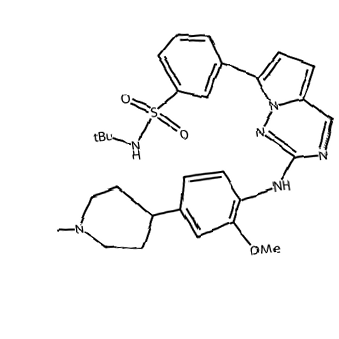 COc1cc(C2CCN(C)CC2)ccc1Nc1ncc2ccc(-c3cccc(S(=O)(=O)NC(C)(C)C)c3)n2n1